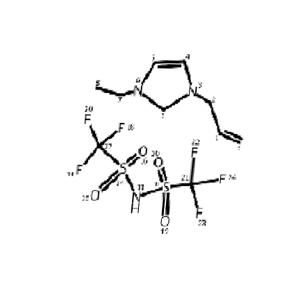 C=CCN1C=CN(CC)C1.O=S(=O)(NS(=O)(=O)C(F)(F)F)C(F)(F)F